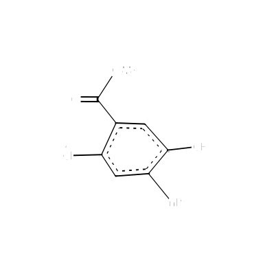 CCCc1cc(Cl)c(C(=O)OC)cc1C(F)(F)F